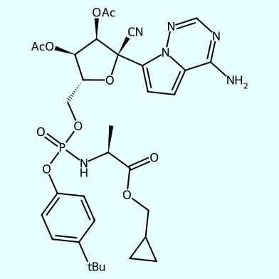 CC(=O)O[C@H]1[C@@H](OC(C)=O)[C@](C#N)(c2ccc3c(N)ncnn23)O[C@@H]1COP(=O)(N[C@@H](C)C(=O)OCC1CC1)Oc1ccc(C(C)(C)C)cc1